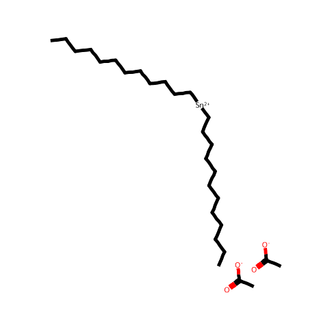 CC(=O)[O-].CC(=O)[O-].CCCCCCCCCCC[CH2][Sn+2][CH2]CCCCCCCCCCC